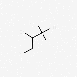 CCOC(=O)C(C)(C(=O)O)C(CC)CC(C)=O